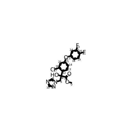 COC(=O)C(O)(Cn1cncn1)c1ccc(Oc2ccc(F)c(F)c2)cc1Cl